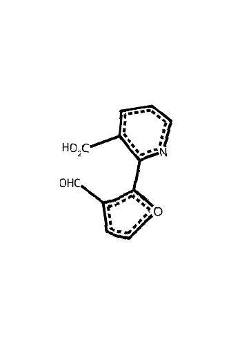 O=Cc1ccoc1-c1ncccc1C(=O)O